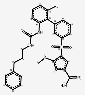 CSc1sc(C(=N)N)cc1S(=O)(=O)c1cccc(-c2c(C)cccc2NC(=O)NCCCc2ccccc2)c1